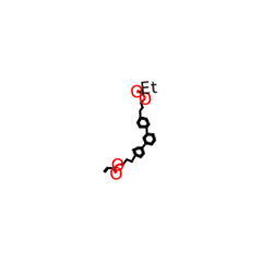 C=CC(=O)OCCCc1ccc(-c2cccc(-c3ccc(CCCOC(=O)CC)cc3)c2)cc1